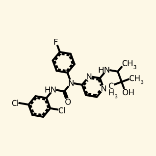 CC(Nc1nccc(N(C(=O)Nc2cc(Cl)ccc2Cl)c2ccc(F)cc2)n1)C(C)(C)O